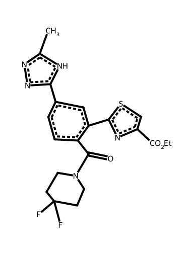 CCOC(=O)c1csc(-c2cc(-c3nnc(C)[nH]3)ccc2C(=O)N2CCC(F)(F)CC2)n1